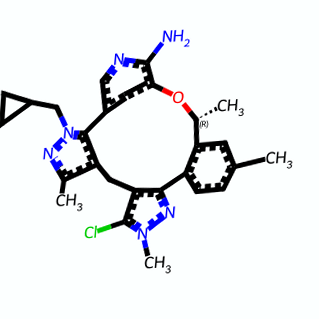 Cc1ccc2c(c1)[C@@H](C)Oc1cc(cnc1N)-c1c(c(C)nn1CC1CC1)Cc1c-2nn(C)c1Cl